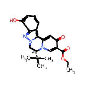 CCOC(=O)c1cn2c(cc1=O)-c1c3cccc(O)c3nn1C[C@H]2C(C)(C)C